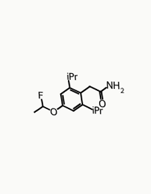 CC(F)Oc1cc(C(C)C)c(CC(N)=O)c(C(C)C)c1